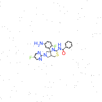 Nc1ccc(F)c(C23CN(c4ncc(F)cn4)CC2CSC(NC(=O)c2ccccc2)=N3)c1